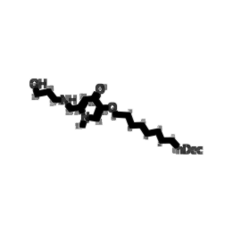 CCCCCCCCCCCCCCCCCCOc1cn(C)c(CNCCCO)cc1=O